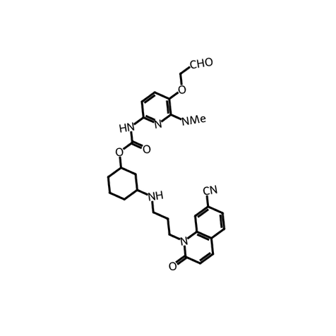 CNc1nc(NC(=O)OC2CCCC(NCCCn3c(=O)ccc4ccc(C#N)cc43)C2)ccc1OCC=O